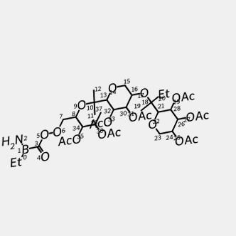 CCB(N)C(=O)OOCC(OC(C)(C)C1OCC(OC(C)(CC)C2OCC(OC(C)=O)C(OC(C)=O)C2OC(C)=O)C(OC(C)=O)C1OC(C)=O)C(OC(C)=O)C(C)OC(C)=O